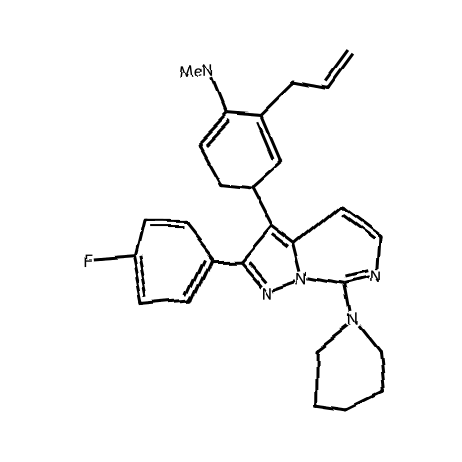 C=CCC1=CC(c2c(-c3ccc(F)cc3)nn3c(N4CCCCC4)nccc23)CC=C1NC